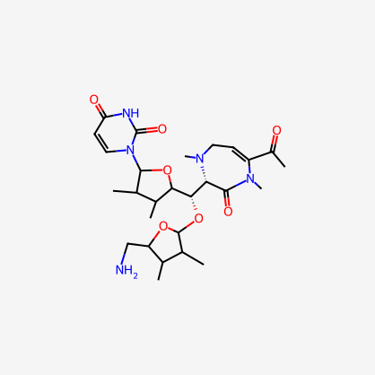 CC(=O)C1=CCN(C)[C@@H]([C@H](OC2OC(CN)C(C)C2C)C2OC(n3ccc(=O)[nH]c3=O)C(C)C2C)C(=O)N1C